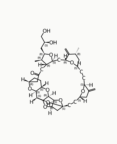 C=C1C[C@@H]2CC[C@@]34C[C@H]5OC6[C@@H](O[C@H]7CC[C@H](CC(=O)C[C@@H]8[C@@H](C)[C@@H](C[C@H](O)CO)O[C@H]8C[C@H]8O[C@@H](CC[C@@H]1O2)C[C@@H](C)C8=C)O[C@@H]7[C@@H]6O3)[C@H]5O4